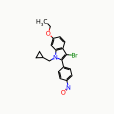 CCOc1ccc2c(Br)c(-c3ccc(N=O)cc3)n(CC3CC3)c2c1